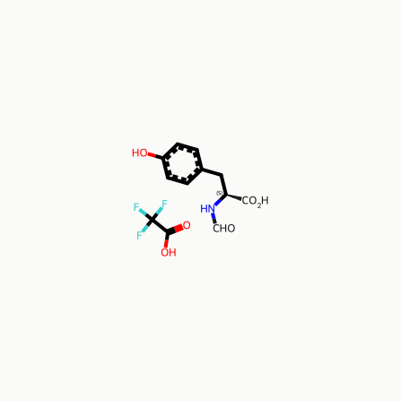 O=C(O)C(F)(F)F.O=CN[C@@H](Cc1ccc(O)cc1)C(=O)O